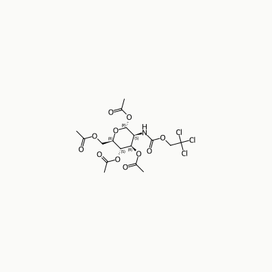 CC(=O)OC[C@H]1O[C@H](OC(C)=O)[C@@H](NC(=O)OCC(Cl)(Cl)Cl)[C@@H](OC(C)=O)[C@@H]1OC(C)=O